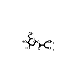 CCC(CC)C(=O)O[C@@H]1CC(O)C(O)C(CO)O1